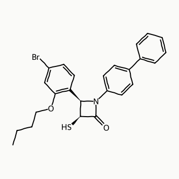 CCCCOc1cc(Br)ccc1[C@@H]1[C@H](S)C(=O)N1c1ccc(-c2ccccc2)cc1